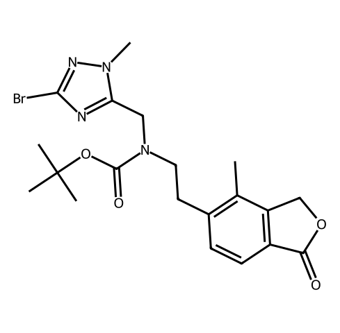 Cc1c(CCN(Cc2nc(Br)nn2C)C(=O)OC(C)(C)C)ccc2c1COC2=O